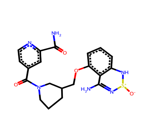 NC(=O)c1cc(C(=O)N2CCCC(COc3cccc4c3C(N)=N[S+]([O-])N4)C2)ccn1